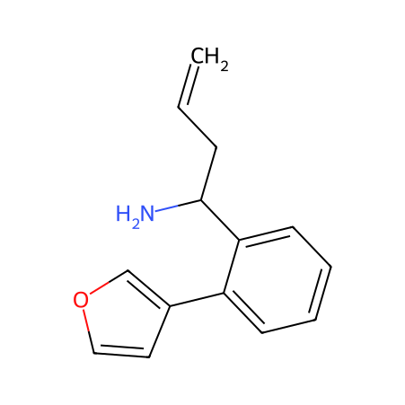 C=CCC(N)c1ccccc1-c1ccoc1